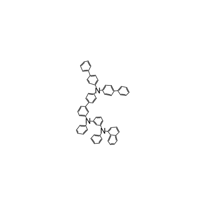 c1ccc(-c2ccc(N(c3ccc(-c4ccccc4)cc3)c3ccc(-c4cccc(N(c5ccccc5)c5cccc(N(c6ccccc6)c6cccc7ccccc67)c5)c4)cc3)cc2)cc1